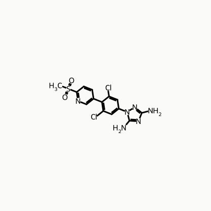 CS(=O)(=O)c1ccc(-c2c(Cl)cc(-n3nc(N)nc3N)cc2Cl)cn1